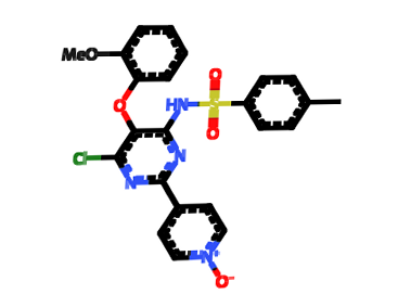 COc1ccccc1Oc1c(Cl)nc(-c2cc[n+]([O-])cc2)nc1NS(=O)(=O)c1ccc(C)cc1